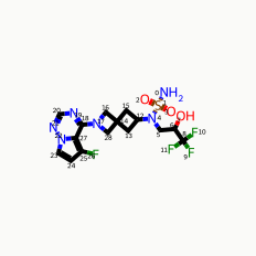 NS(=O)(=O)N(CC(O)C(F)(F)F)C1CC2(C1)CN(c1ncnn3ccc(F)c13)C2